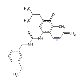 C=C/C=C\c1c(NC(=O)NCc2cccc(OC)c2)cn(CC(C)C)c(=O)c1C